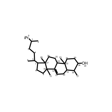 CC(C)C(C)CCC(C)C1CCC2(C)C3=CCC4C(C)C(O)CCC4(C)C3CCC12C